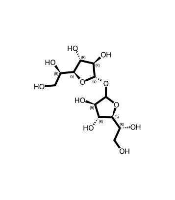 OC[C@@H](O)[C@@H]1O[C@@H](OC2O[C@@H]([C@H](O)CO)[C@H](O)[C@H]2O)[C@H](O)[C@H]1O